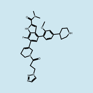 COc1cc(C2CCNCC2)ccc1-c1cc(C2=CCCN(C(=O)CCn3ccnn3)C2)c(F)c2[nH]c(C(=O)N(C)C)cc12